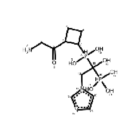 NCC(=O)C1CCC1[PH](O)(O)C(O)(Cn1ccnc1)[PH](O)(O)O